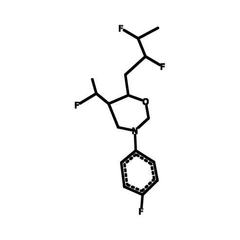 CC(F)C(F)CC1OCN(c2ccc(F)cc2)CC1C(C)F